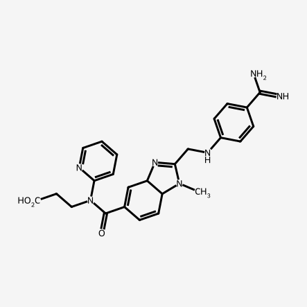 CN1C(CNc2ccc(C(=N)N)cc2)=NC2C=C(C(=O)N(CCC(=O)O)c3ccccn3)C=CC21